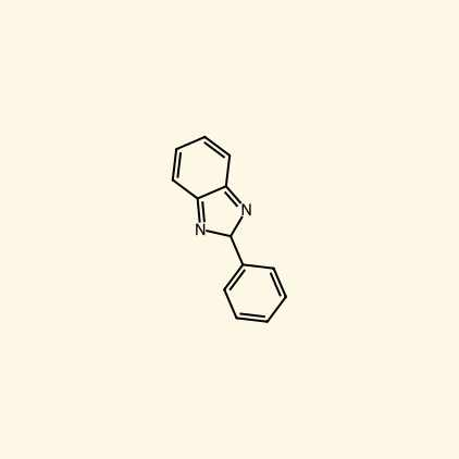 c1ccc(C2N=c3ccccc3=N2)cc1